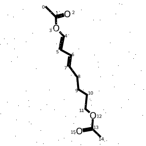 CC(=O)OC=CC=CCCCCOC(C)=O